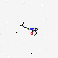 CCC1(C(=O)NCCCC(C)C)CC1